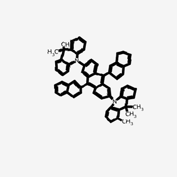 CC1CC=CC2=C1C(C)(C)c1ccccc1N2c1ccc2c(-c3ccc4ccccc4c3)c3cc(N4c5ccccc5C(C)(C)c5ccccc54)ccc3c(-c3ccc4c(c3)CCC=C4)c2c1